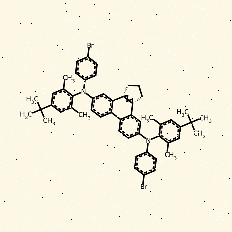 Cc1cc(C(C)(C)C)cc(C)c1N(c1ccc(Br)cc1)c1ccc2c(c1)[C@]13CCC[C@]1(CCC3)c1cc(N(c3ccc(Br)cc3)c3c(C)cc(C(C)(C)C)cc3C)ccc1-2